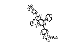 CN(C(=O)OC(C)(C)C)c1ncc(-c2nc(N3CCOCC3)c3nc(N4CCN(S(C)(=O)=O)CC4)n(CC(F)(F)F)c3n2)cn1